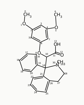 COc1cc(OC)cc(OC(C(=O)O)C2(c3ccccc3)c3ccccc3CCN2C)c1